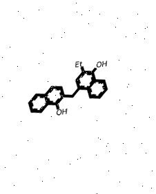 CCc1cc(Cc2ccc3ccccc3c2O)c2ccccc2c1O